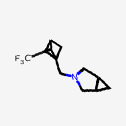 FC(F)(F)C1C2CC1(CN1CC3CC3C1)C2